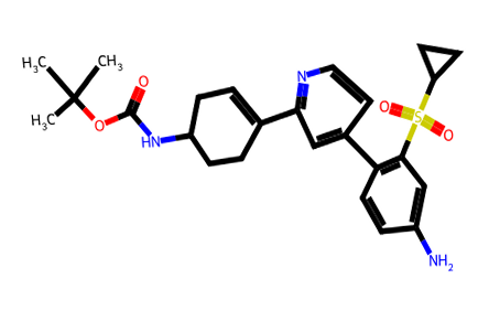 CC(C)(C)OC(=O)NC1CC=C(c2cc(-c3ccc(N)cc3S(=O)(=O)C3CC3)ccn2)CC1